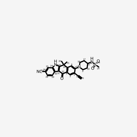 C#Cc1cc2c(cc1N1CCC(NS(C)(=O)=O)CC1)C(C)(C)c1[nH]c3cc(C#N)ccc3c1C2=O